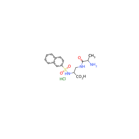 CC(N)C(=O)NCC(NS(=O)(=O)c1ccc2ccccc2c1)C(=O)O.Cl